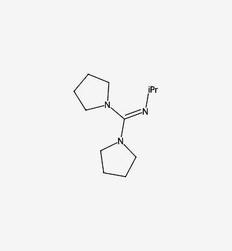 CC(C)N=C(N1CCCC1)N1CCCC1